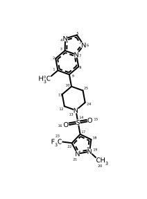 Cc1cc2ncnn2cc1C1CCN(S(=O)(=O)c2cn(C)nc2C(F)(F)F)CC1